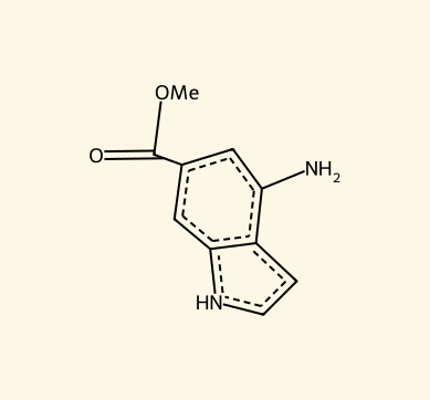 COC(=O)c1cc(N)c2cc[nH]c2c1